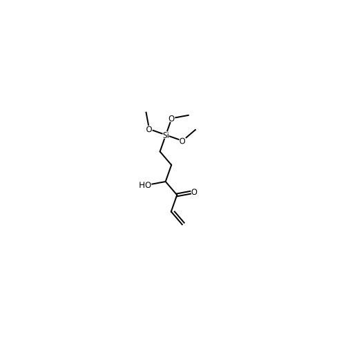 C=CC(=O)C(O)CC[Si](OC)(OC)OC